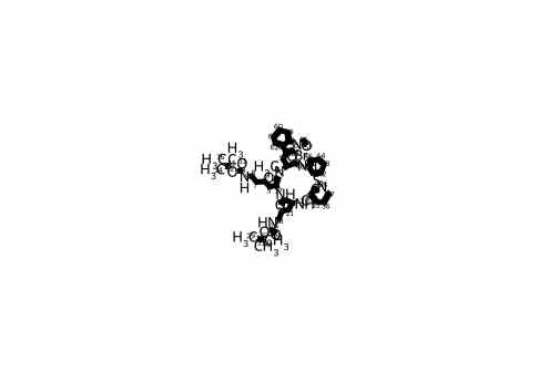 CN1C(=O)C(CCCCNC(=O)OC(C)(C)C)NC(=O)C(CCCNC(=O)OC(C)(C)C)NCc2cccnc2Sc2cccc(Br)c2NC(=O)C1Cc1cn(C=O)c2ccccc12